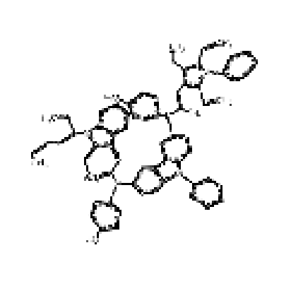 C=C/C(=C\C=C/C)n1c(=C/C)/c(=C\C(=C)N(c2ccc(O)cc2)c2ccc3c(c2)c2cc(N(/C(C)=C/c4c(C=C)c(C=C)n(-c5ccccc5)c4C=C)c4ccc(O)cc4)ccc2n3-c2ccccc2)c2ccccc21